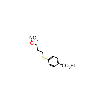 CCOC(=O)c1ccc(SCCCO[N+](=O)[O-])cc1